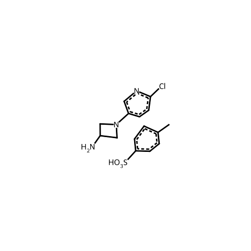 Cc1ccc(S(=O)(=O)O)cc1.NC1CN(c2ccc(Cl)nc2)C1